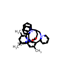 Cc1cc(C)c2c3c1-c1cccc[n+]1CC1(Cc4ccccc4-c4c(C)cc(C)c([n+]4-3)-c3ccccc31)[n+]1ccccc1-2